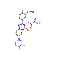 COc1cc(-c2nc3ccc(N4CCNC(C)C4)cc3c(=O)n2CC(=O)NC(C)C)ccc1F